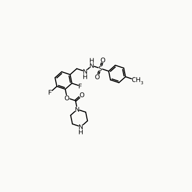 Cc1ccc(S(=O)(=O)NNCc2ccc(F)c(OC(=O)N3CCNCC3)c2F)cc1